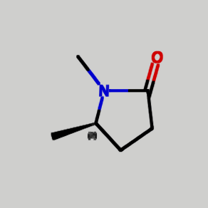 C[C@@H]1CCC(=O)N1C